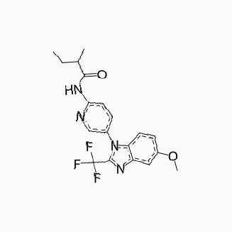 CCC(C)C(=O)Nc1ccc(-n2c(C(F)(F)F)nc3cc(OC)ccc32)cn1